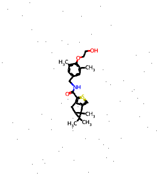 Cc1cc(CNC(=O)c2scc3c2CC2C(C)(C)C32C)cc(C)c1OCCO